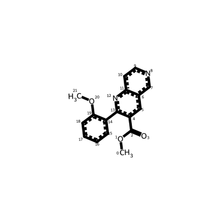 COC(=O)c1cc2cnccc2nc1-c1ccccc1OC